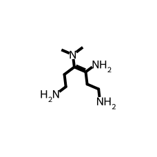 CN(C)C(CCN)=C(N)CCN